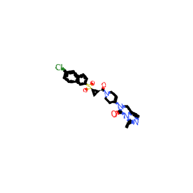 Cc1ncc2n1C(=O)N(C1CCN(C(=O)[C@@H]3C[C@H]3S(=O)(=O)c3ccc4cc(Cl)ccc4c3)CC1)C2